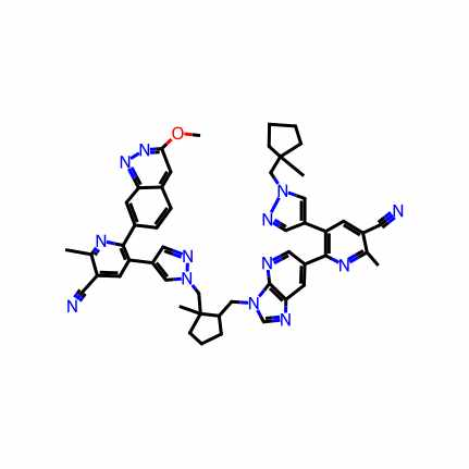 COc1cc2ccc(-c3nc(C)c(C#N)cc3-c3cnn(CC4(C)CCCC4Cn4cnc5cc(-c6nc(C)c(C#N)cc6-c6cnn(CC7(C)CCCC7)c6)cnc54)c3)cc2nn1